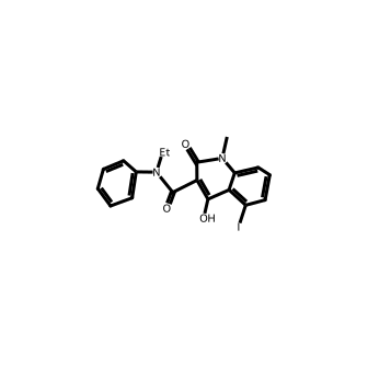 CCN(C(=O)c1c(O)c2c(I)cccc2n(C)c1=O)c1ccccc1